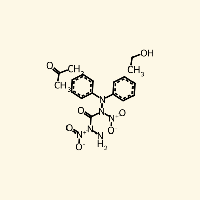 CC(C)=O.CCO.NN(C(=O)N(N(c1ccccc1)c1ccccc1)[N+](=O)[O-])[N+](=O)[O-]